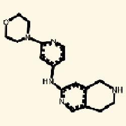 c1cc(Nc2cc3c(cn2)CCNC3)cc(N2CCOCC2)n1